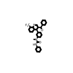 CN(C(=O)Nc1ccccc1)c1cccc(-c2c(C(=O)c3ccccc3)cnc3c(C(F)(F)F)cccc23)c1